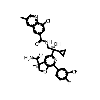 Cc1cnc2c(Cl)cc(C(=O)NC[C@](O)(c3cc4c(c(-c5ccc(F)c(C(F)(F)F)c5)n3)OC[C@]4(C)C(N)=O)C3CC3)cc2c1